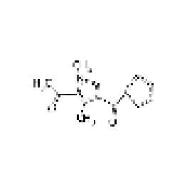 CC(=O)c1c(C)c(C(=O)c2ccccc2)cn1C